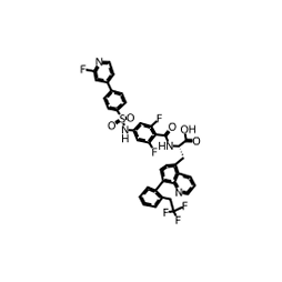 O=C(N[C@@H](Cc1ccc(-c2ccccc2CC(F)(F)F)c2ncccc12)C(=O)O)c1c(F)cc(NS(=O)(=O)c2ccc(-c3ccnc(F)c3)cc2)cc1F